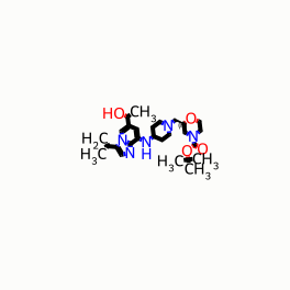 C=C(C)c1cnc2c(NC3CCN(C[C@@H]4CN(C(=O)OC(C)(C)C)CCO4)CC3)cc(C(C)O)cn12